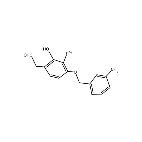 CCCc1c(OCc2cccc(N)c2)ccc(CC=O)c1O